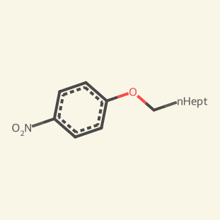 CCCCCCCCOc1ccc([N+](=O)[O-])cc1